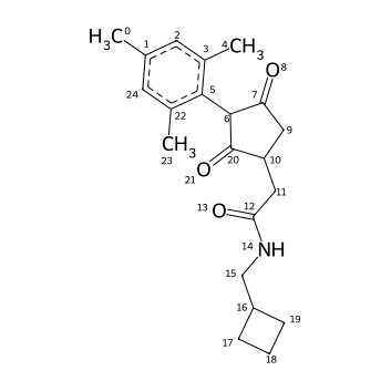 Cc1cc(C)c(C2C(=O)CC(CC(=O)NCC3CCC3)C2=O)c(C)c1